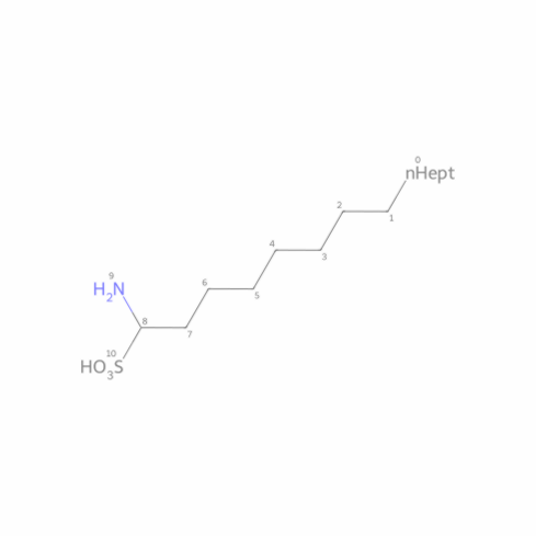 CCCCCCCCCCCCCCC(N)S(=O)(=O)O